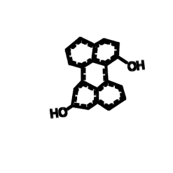 Oc1cc2cccc3c4c(O)ccc5cccc(c(c1)c23)c54